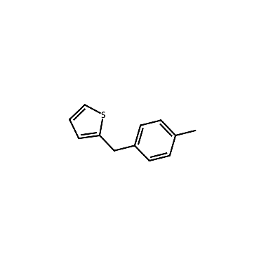 Cc1ccc(Cc2cccs2)cc1